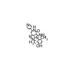 Cc1ccc(O)c(C)c1-n1c(N)c2c3c(ncnc31)C=C(c1ccncc1)NC2=O